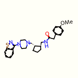 COc1ccc(CC(=O)NC[C@H]2CCC[C@@H]2CN2CCN(c3nsc4ccccc34)CC2)cc1